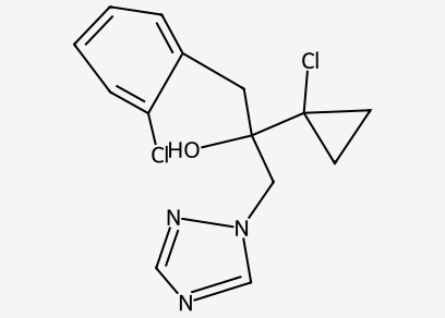 OC(Cc1ccccc1Cl)(Cn1cncn1)C1(Cl)CC1